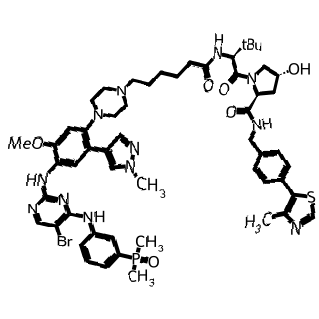 COc1cc(N2CCN(CCCCCC(=O)N[C@H](C(=O)N3C[C@H](O)C[C@H]3C(=O)NCc3ccc(-c4scnc4C)cc3)C(C)(C)C)CC2)c(-c2cnn(C)c2)cc1Nc1ncc(Br)c(Nc2cccc(P(C)(C)=O)c2)n1